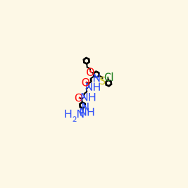 NNc1ccc(C(=O)NCCCNC(=O)C=Cc2nc(CSc3ccccc3Cl)ccc2OCCc2ccccc2)cn1